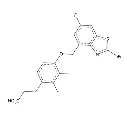 Cc1c(CCC(=O)O)ccc(OCc2cc(F)cc3sc(C(C)C)nc23)c1C